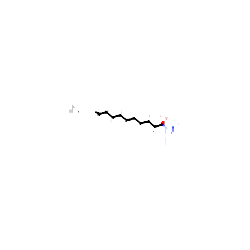 [CH2]CNC(=O)CCCCCCCCCCCCCCCCCC